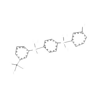 Cc1cccc([Si](C)(C)c2ccc([Si](C)(C)c3cccc(C(F)(F)F)c3)cc2)c1